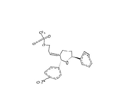 O=[N+]([O-])c1ccc([C@H]2O[C@H](c3ccccc3)CCC2=CCOS(=O)(=O)C(F)(F)F)cc1